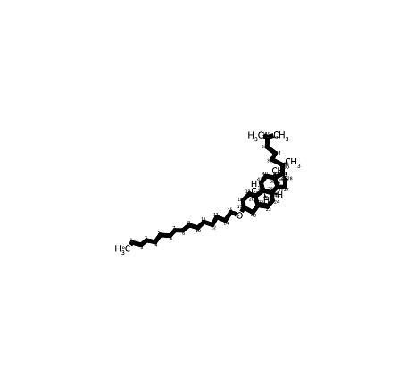 CCCCCCCCCCCCCCCCOC1CC[C@@]2(C)C(=CC[C@H]3[C@@H]4CC[C@H]([C@H](C)CCCC(C)C)[C@@]4(C)CC[C@@H]32)C1